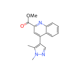 COC(=O)c1cc(-c2cnn(C)c2C)c2ccccc2n1